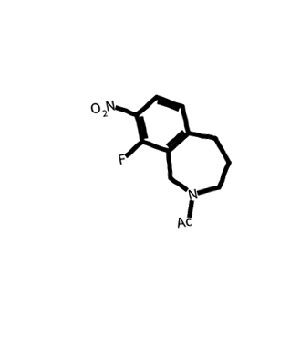 CC(=O)N1CCCc2ccc([N+](=O)[O-])c(F)c2C1